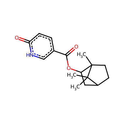 CC1(C)C2CCC1(C)C(OC(=O)c1ccc(=O)[nH]c1)C2